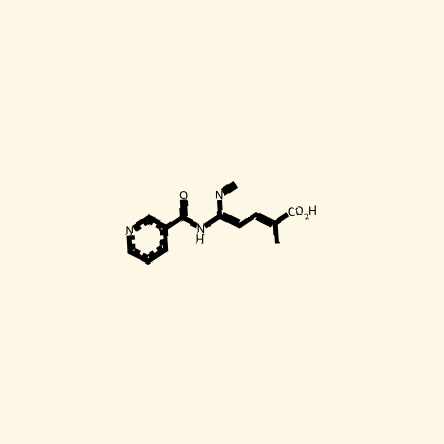 C=N/C(=C\C=C(/C)C(=O)O)NC(=O)c1cccnc1